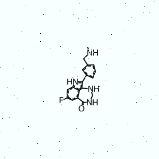 CNCc1cccc(-c2[nH]c3cc(F)cc4c3c2NCNC4=O)c1